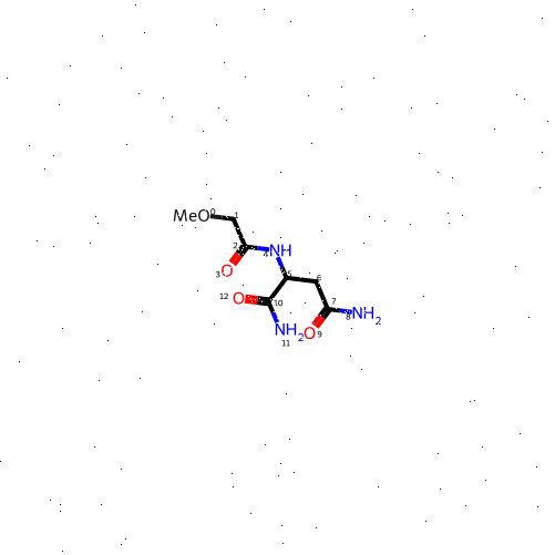 COCC(=O)NC(CC(N)=O)C(N)=O